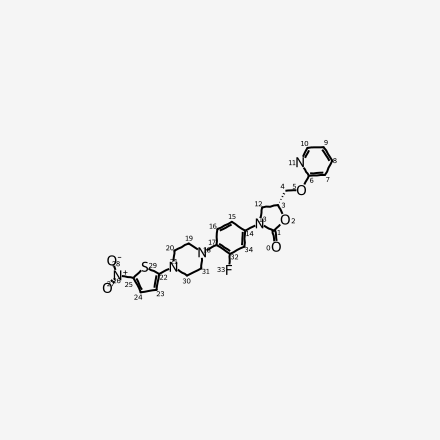 O=C1O[C@@H](COc2ccccn2)CN1c1ccc(N2CCN(c3ccc([N+](=O)[O-])s3)CC2)c(F)c1